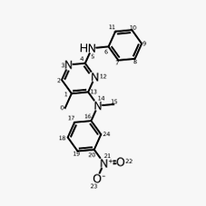 Cc1cnc(Nc2ccccc2)nc1N(C)c1cccc([N+](=O)[O-])c1